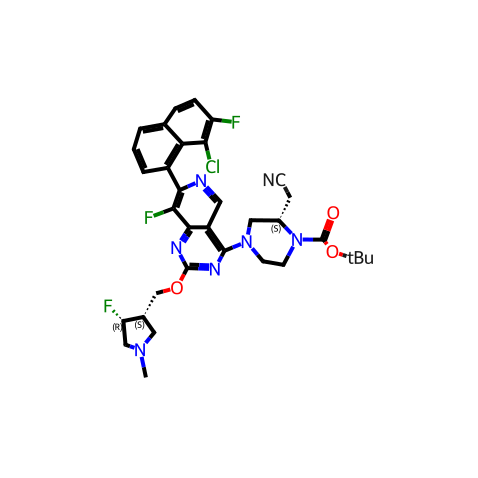 CN1C[C@@H](COc2nc(N3CCN(C(=O)OC(C)(C)C)[C@@H](CC#N)C3)c3cnc(-c4cccc5ccc(F)c(Cl)c45)c(F)c3n2)[C@@H](F)C1